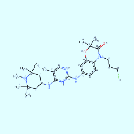 CN1C(C)(C)CC(Nc2nc(Nc3ccc4c(c3)OC(C)(C)C(=O)N4CCCF)ncc2C#N)CC1(C)C